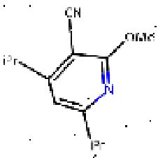 COc1nc(C(C)C)cc(C(C)C)c1C#N